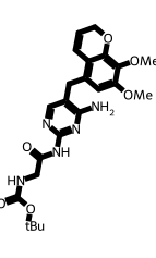 COc1cc(Cc2cnc(NC(=O)CNC(=O)OC(C)(C)C)nc2N)c2c(c1OC)OCC=C2